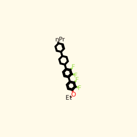 CCCC1C=CC(C2CCC(c3ccc(-c4ccc(OCC)c(F)c4F)c(F)c3F)CC2)CC1